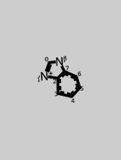 C1=[N+]c2ccccc2[N]1